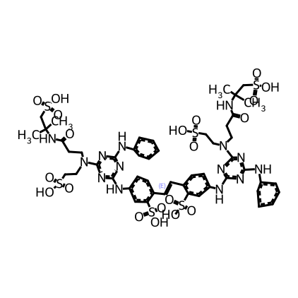 CC(C)(CS(=O)(=O)O)NC(=O)CCN(CCS(=O)(=O)O)c1nc(Nc2ccccc2)nc(Nc2ccc(/C=C/c3ccc(Nc4nc(Nc5ccccc5)nc(N(CCC(=O)NC(C)(C)CS(=O)(=O)O)CCS(=O)(=O)O)n4)cc3S(=O)(=O)O)c(S(=O)(=O)O)c2)n1